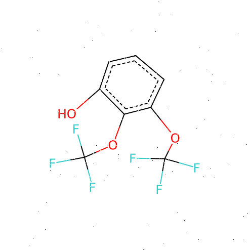 Oc1cccc(OC(F)(F)F)c1OC(F)(F)F